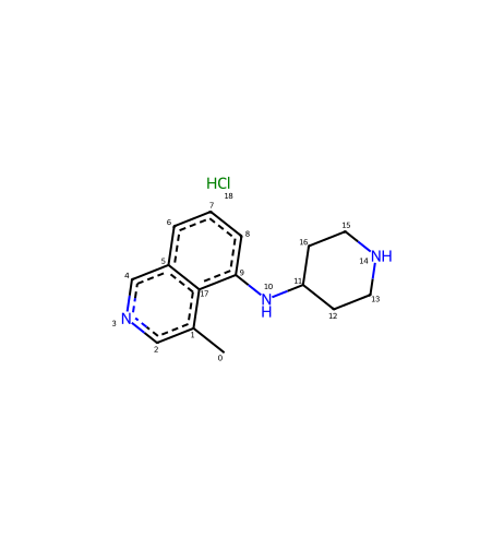 Cc1cncc2cccc(NC3CCNCC3)c12.Cl